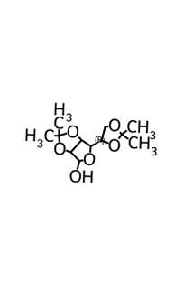 CC1(C)OC2C(O)OC([C@H]3COC(C)(C)O3)C2O1